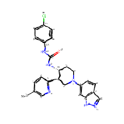 COc1ccc([C@@H]2CN(c3ccc4cn[nH]c4c3)CC[C@H]2NC(=O)Nc2ccc(Cl)cc2)nc1